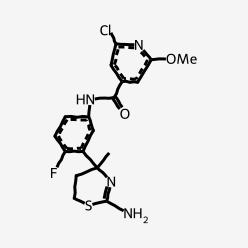 COc1cc(C(=O)Nc2ccc(F)c(C3(C)CCSC(N)=N3)c2)cc(Cl)n1